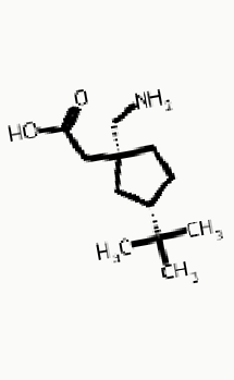 CC(C)(C)[C@H]1CC[C@](CN)(CC(=O)O)C1